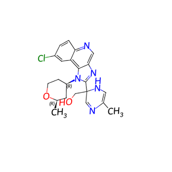 CC1=CNC(CO)(c2nc3cnc4ccc(Cl)cc4c3n2[C@@H]2CCO[C@H](C)C2)C=N1